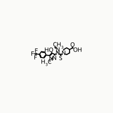 CC=NN(C(=S)N1CCC(C(=O)O)CC1)c1nn(C)c(-c2ccc(C(F)(F)F)cc2)c1O